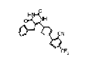 N#Cc1cc(C(F)(F)F)ccc1C1=CCC(c2[nH]c(=O)[nH]c(=O)c2Cc2ccccc2)CC1